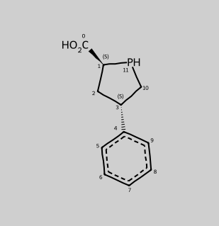 O=C(O)[C@@H]1C[C@@H](c2ccccc2)CP1